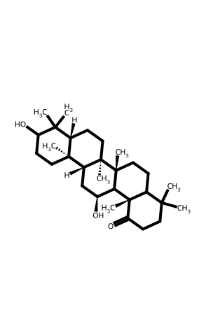 CC1(C)CCC(=O)[C@@]2(C)C1CC[C@]1(C)C2[C@@H](O)C[C@@H]2[C@@]3(C)CCC(O)C(C)(C)[C@@H]3CC[C@]21C